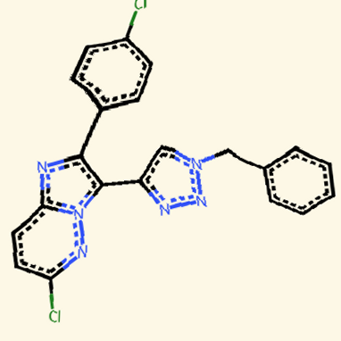 Clc1ccc(-c2nc3ccc(Cl)nn3c2-c2cn(Cc3ccccc3)nn2)cc1